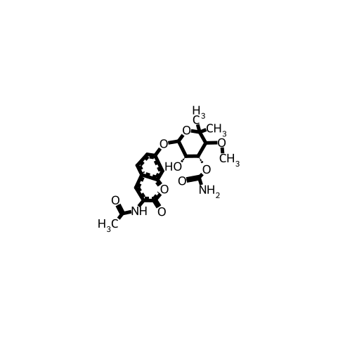 COC1[C@H](OC(N)=O)[C@H](O)C(Oc2ccc3cc(NC(C)=O)c(=O)oc3c2)OC1(C)C